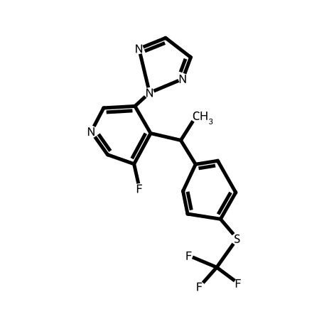 CC(c1ccc(SC(F)(F)F)cc1)c1c(F)cncc1-n1nccn1